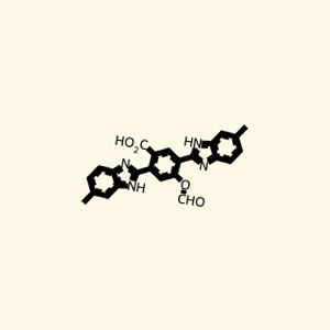 Cc1ccc2nc(-c3cc(C(=O)O)c(-c4nc5ccc(C)cc5[nH]4)cc3OC=O)[nH]c2c1